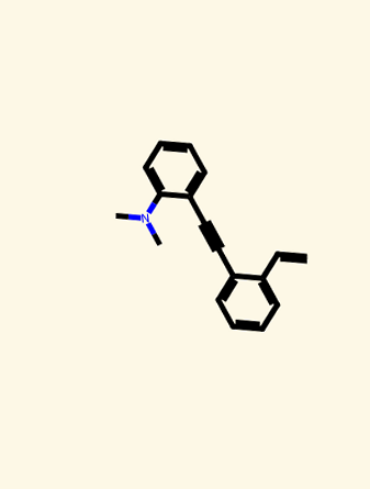 C=Cc1ccccc1C#Cc1ccccc1N(C)C